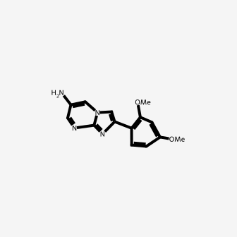 COc1ccc(-c2cn3cc(N)cnc3n2)c(OC)c1